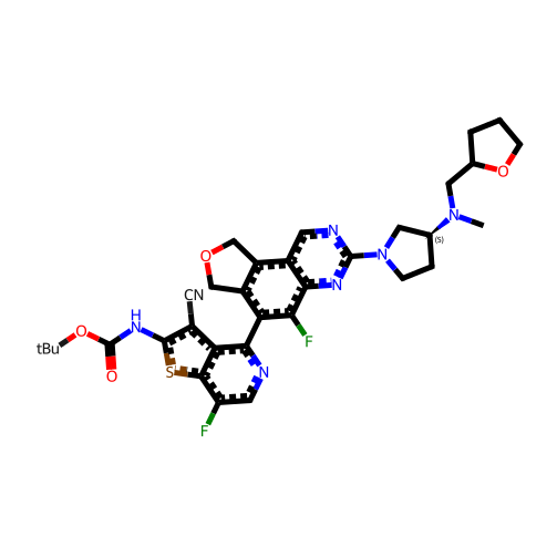 CN(CC1CCCO1)[C@H]1CCN(c2ncc3c4c(c(-c5ncc(F)c6sc(NC(=O)OC(C)(C)C)c(C#N)c56)c(F)c3n2)COC4)C1